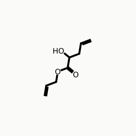 C=CCOC(=O)C(O)CC=C